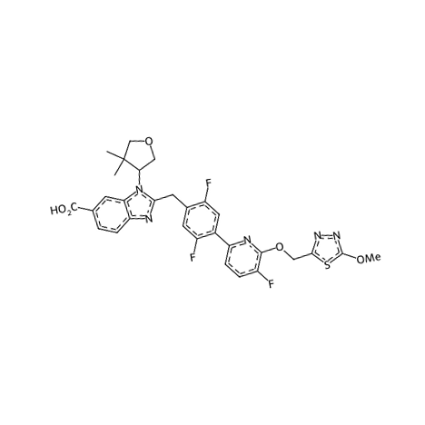 COc1nnc(COc2nc(-c3cc(F)c(Cc4nc5ccc(C(=O)O)cc5n4C4COCC4(C)C)cc3F)ccc2F)s1